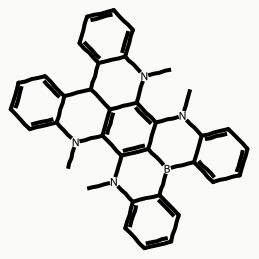 CN1c2ccccc2B2c3ccccc3N(C)c3c2c1c1c2c3N(C)c3ccccc3C2c2ccccc2N1C